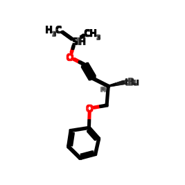 C[SiH](C)OC#C[C@H](COc1ccccc1)C(C)(C)C